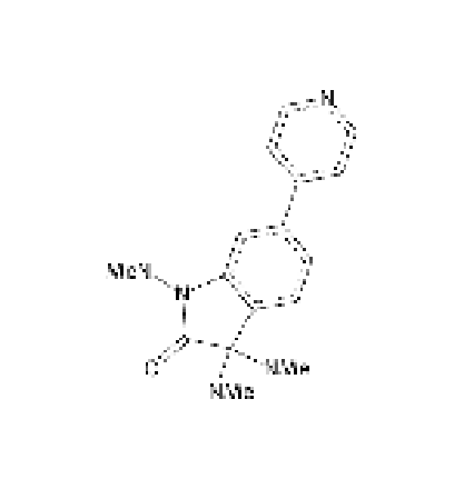 CNN1C(=O)C(NC)(NC)c2ccc(-c3ccncc3)cc21